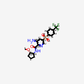 CO[C@H]1CCC[C@@H]1NC(=O)c1ncc(S(=O)(=O)c2ccc(C(F)(F)F)cc2)cc1N